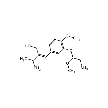 CCC(OC)Oc1cc(C=C(CO)C(C)C)ccc1OC